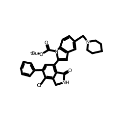 CC(C)(C)OC(=O)n1c(-c2cc(-c3ccccc3)c(Cl)c3c2C(=O)NC3)cc2cc(CN3CCCCC3)ccc21